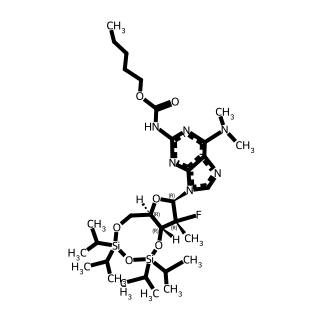 CCCCCOC(=O)Nc1nc(N(C)C)c2ncn([C@@H]3O[C@@H]4CO[Si](C(C)C)(C(C)C)O[Si](C(C)C)(C(C)C)O[C@H]4[C@@]3(C)F)c2n1